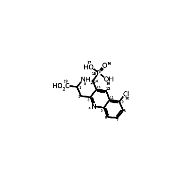 NC(Cc1nc2cccc(Cl)c2cc1CP(=O)(O)O)C(=O)O